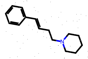 C(=Cc1ccccc1)CCN1CCCCC1